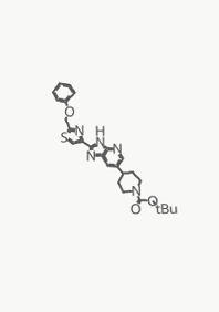 CC(C)(C)OC(=O)N1CCC(c2cnc3[nH]c(-c4csc(COc5ccccc5)n4)nc3c2)CC1